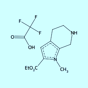 CCOC(=O)c1cc2c(n1C)CNCC2.O=C(O)C(F)(F)F